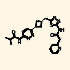 CC(C)C(=O)Nc1ccc([C@H]2C[C@@H](Cc3nnc(NC(=O)Cc4ccccn4)s3)C2)nn1